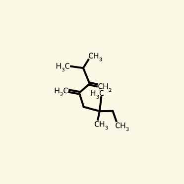 C=C(CC(C)(C)CC)C(=C)C(C)C